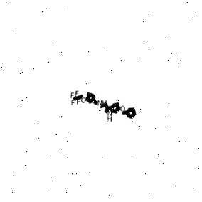 FC(F)C(F)(F)COc1cccc(CNCCc2c[nH]c3cc(OCc4ccccc4)ccc23)c1